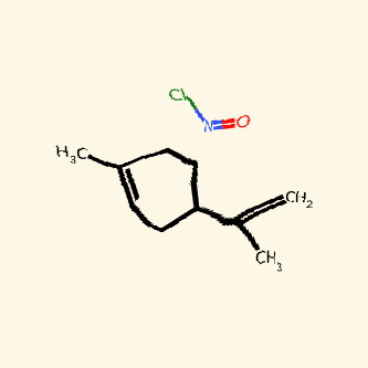 C=C(C)C1CC=C(C)CC1.O=NCl